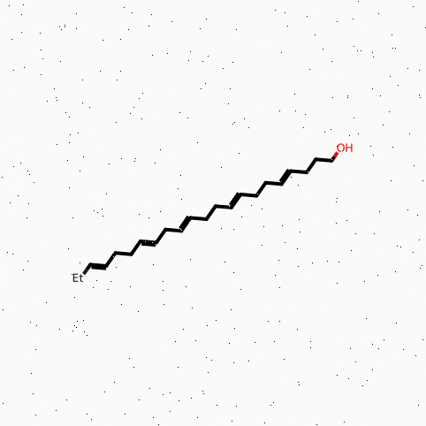 CC/C=C/CC/C=C/C/C=C/CC/C=C/CC/C=C/CCCO